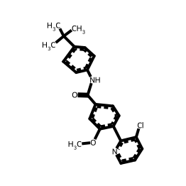 COc1cc(C(=O)Nc2ccc(C(C)(C)C)cc2)ccc1-c1ncccc1Cl